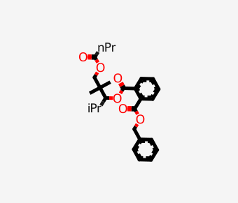 CCCC(=O)OCC(C)(C)C(OC(=O)c1ccccc1C(=O)OCc1ccccc1)C(C)C